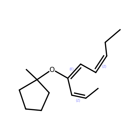 C\C=C/C(=C\C=C/CC)OC1(C)CCCC1